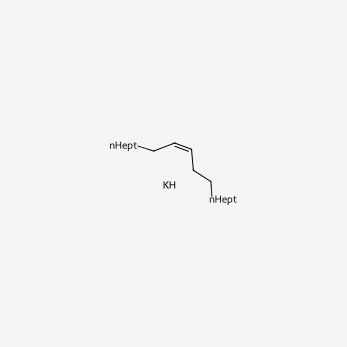 CCCCCCCC/C=C\CCCCCCCCC.[KH]